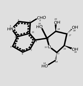 O=Cc1c[nH]c2cccc(C3(O)O[C@@H](CO)[C@H](O)[C@@H](O)[C@@H]3O)c12